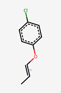 C/C=C/Oc1ccc(Cl)cc1